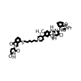 Cc1cc(Nc2ncc(Cl)c(Nc3ccccc3S(=O)(=O)C(C)C)n2)c(OC(C)C)cc1C1CCN(CCCCCCSc2cccc3c2CN(C2CCC(=O)NC2=O)C3=O)CC1